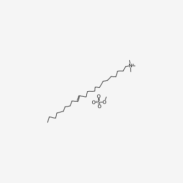 CCCCCCCCC=CCCCCCCCCCCCC[N+](C)(C)C.COS(=O)(=O)[O-]